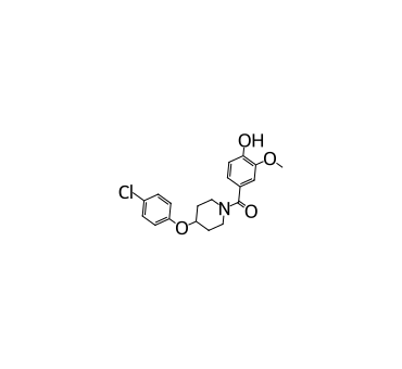 COc1cc(C(=O)N2CCC(Oc3ccc(Cl)cc3)CC2)ccc1O